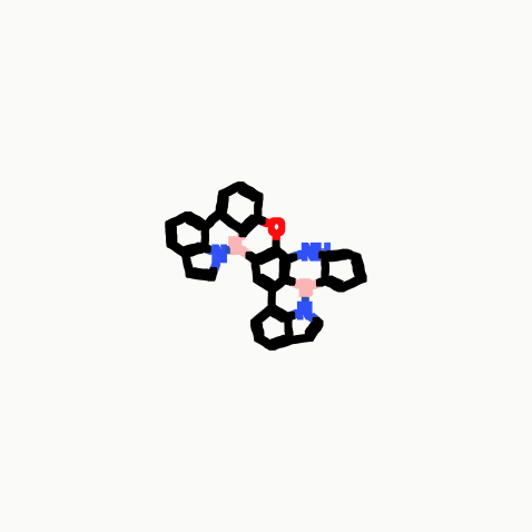 c1ccc2c(c1)Nc1c3c(cc4c1B2n1ccc2cccc-4c21)B1c2c(cccc2-c2cccc4ccn1c24)O3